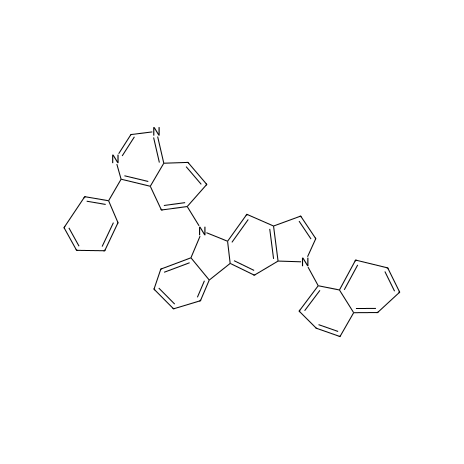 c1ccc(-c2ncnc3ccc(-n4c5ccccc5c5cc6c(ccn6-c6cccc7ccccc67)cc54)cc23)cc1